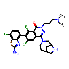 CN(C)CCCn1nc(N2CCC3CNC(C3)C2)c2cc(Cl)c(-c3ccc(F)c4sc(N)nc34)c(F)c2c1=O